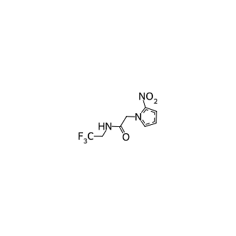 O=C(Cn1cccc1[N+](=O)[O-])NCC(F)(F)F